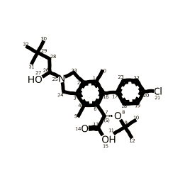 Cc1c2c(c(C)c([C@H](OC(C)(C)C)C(=O)O)c1-c1ccc(Cl)cc1)CN(C(O)CC(C)(C)C)C2